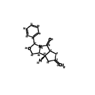 C=C1CC2C(=O)N3C(c4ccccc4)OCC3[C@H]2C1